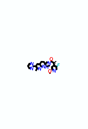 COc1cc([C@H](C)C(=O)N2CC[C@]3(CCc4cc(-c5ncccn5)c(C)nc4N3)C2)c(F)cn1